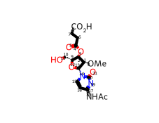 CO[C@H]1C(OC(=O)CCC(=O)O)[C@@H](CO)O[C@H]1n1ccc(NC(C)=O)nc1=O